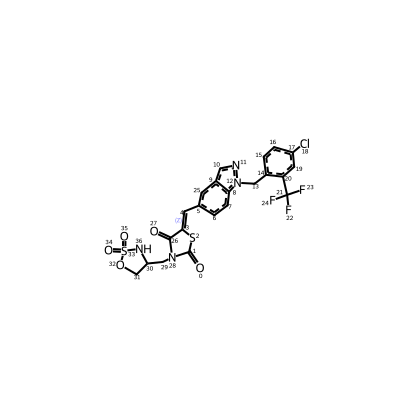 O=C1S/C(=C\c2ccc3c(cnn3Cc3ccc(Cl)cc3C(F)(F)F)c2)C(=O)N1CC1COS(=O)(=O)N1